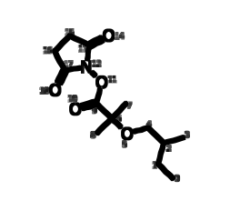 CCC(C)COC(C)(C)C(=O)ON1C(=O)CCC1=O